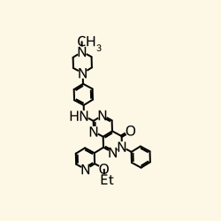 CCOc1ncccc1-c1nn(-c2ccccc2)c(=O)c2cnc(Nc3ccc(N4CCN(C)CC4)cc3)nc12